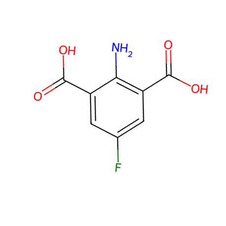 Nc1c(C(=O)O)cc(F)cc1C(=O)O